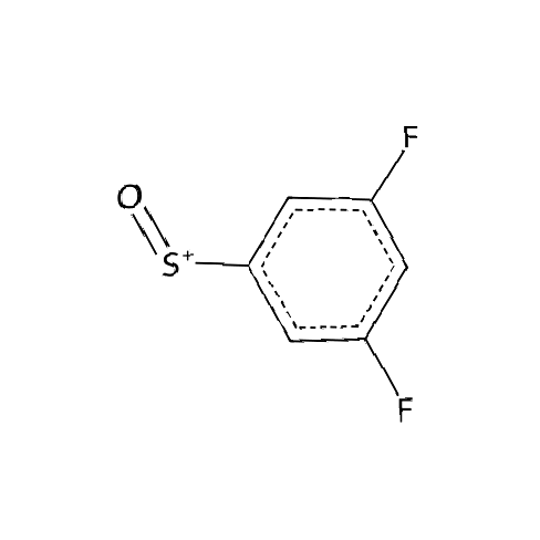 O=[S+]c1cc(F)cc(F)c1